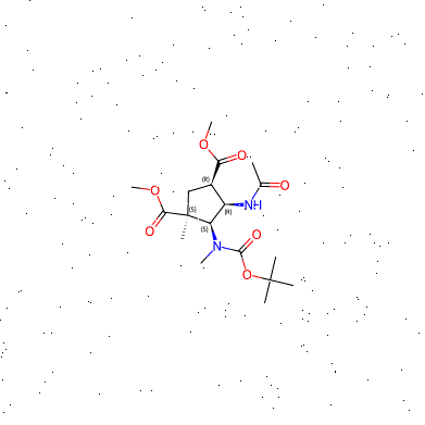 COC(=O)[C@@H]1C[C@](C)(C(=O)OC)[C@H](N(C)C(=O)OC(C)(C)C)[C@@H]1NC(C)=O